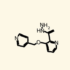 C=C(NN)c1ncccc1OCc1ccncc1